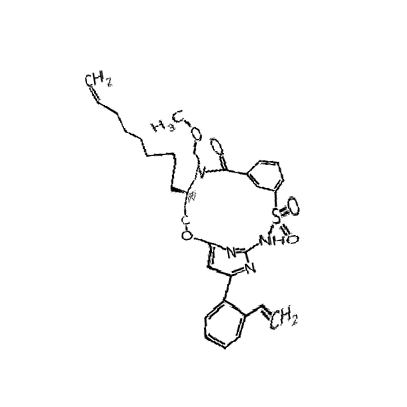 C=CCCCCCC[C@@H]1COc2cc(-c3ccccc3C=C)nc(n2)NS(=O)(=O)c2cccc(c2)C(=O)N1COC